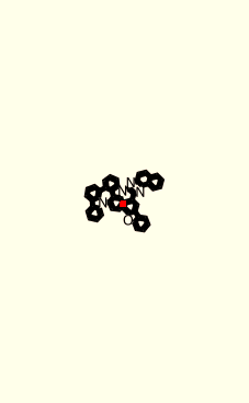 c1ccc2c(c1)ccc1nc(-n3c4cccc5c6cccc7c8ccccc8n(c8cccc3c8c54)c67)c(-c3ccc4oc5ccccc5c4c3)nc12